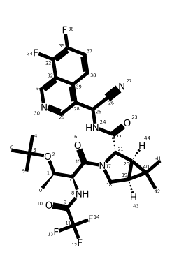 C[C@@H](OC(C)(C)C)[C@H](NC(=O)C(F)(F)F)C(=O)N1C[C@H]2[C@@H]([C@H]1C(=O)NC(C#N)c1cncc3c(F)c(F)ccc13)C2(C)C